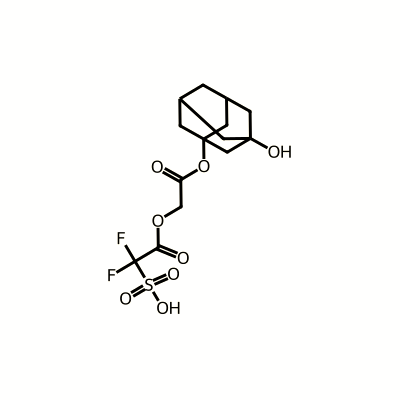 O=C(COC(=O)C(F)(F)S(=O)(=O)O)OC12CC3CC(CC(O)(C3)C1)C2